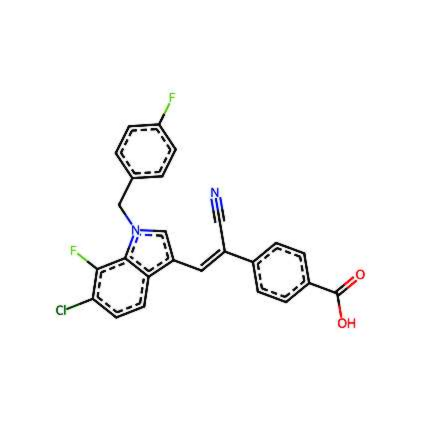 N#CC(=Cc1cn(Cc2ccc(F)cc2)c2c(F)c(Cl)ccc12)c1ccc(C(=O)O)cc1